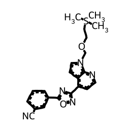 CS(C)(C)CCOCn1ccc2c(-c3noc(-c4cccc(C#N)c4)n3)ccnc21